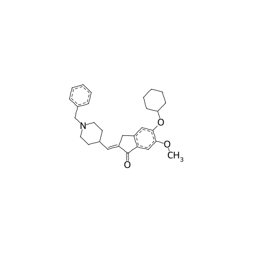 COc1cc2c(cc1OC1CCCCC1)CC(=CC1CCN(Cc3ccccc3)CC1)C2=O